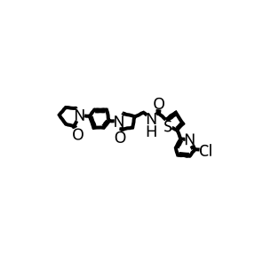 O=C(NCC1CC(=O)N(c2ccc(N3CCCCC3=O)cc2)C1)c1ccc(-c2cccc(Cl)n2)s1